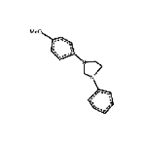 COc1ccc(N2CCN(c3ccccc3)C2)cc1